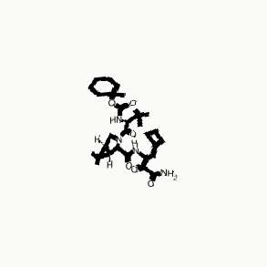 CC1(OC(=O)N[C@H](C(=O)N2C[C@H]3[C@@H](C2C(=O)NC(CC2CCC2)C(=O)C(N)=O)C3(C)C)C(C)(C)C)CCCCC1